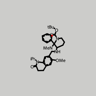 CNC1(c2ccccc2)C(NCc2cc3c(cc2OC)CCC(=O)N3C(C)C)CCCN1C(=O)OC(C)(C)C